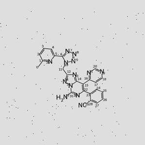 Cc1cccc(-c2nnnn2Cc2nc3c(-c4ccncn4)c(-c4ccccc4C#N)nc(N)n3n2)n1